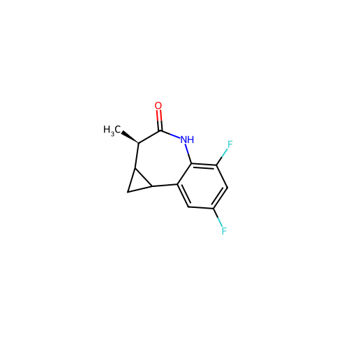 C[C@H]1C(=O)Nc2c(F)cc(F)cc2C2CC21